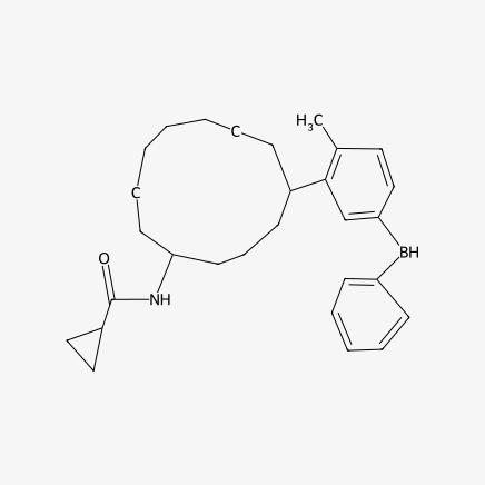 Cc1ccc(Bc2ccccc2)cc1C1CCCCCCCC(NC(=O)C2CC2)CCC1